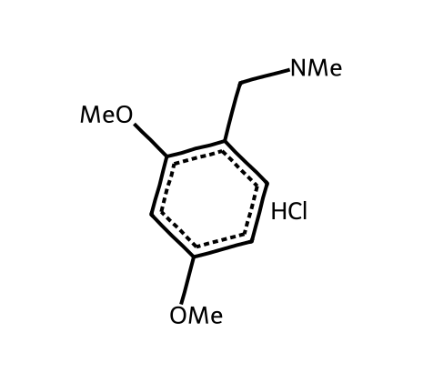 CNCc1ccc(OC)cc1OC.Cl